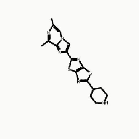 Cc1cn2cc(-c3nc4sc(C5CCNCC5)nc4s3)nc2c(C)n1